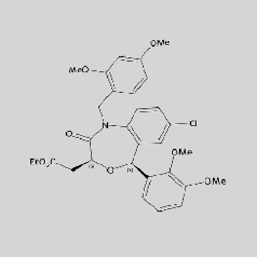 CCOC(=O)C[C@@H]1O[C@H](c2cccc(OC)c2OC)c2cc(Cl)ccc2N(Cc2ccc(OC)cc2OC)C1=O